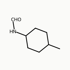 CC1CCC(NC=O)CC1